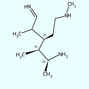 CNCC[C@H](C(C)C=N)[C@H](C)[C@H](C)N